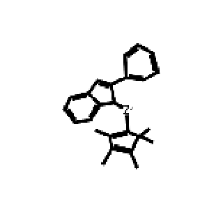 CC1=C(C)C(C)(C)[C]([Zr][CH]2C(c3ccccc3)=Cc3ccccc32)=C1C